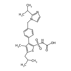 Cc1c(CC(C)C)sc(S(=O)(=O)NC(=O)O)c1-c1ccc(Cn2ccnc2C(C)C)cc1